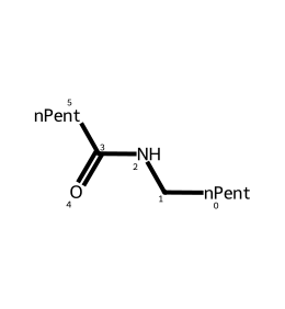 CCCCCCNC(=O)CCCCC